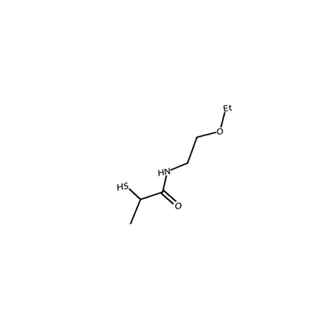 CCOCCNC(=O)C(C)S